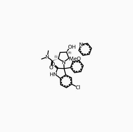 COc1ccccc1C1(N2C[C@H](O)C[C@H]2C(=O)N(C)C)C(=O)Nc2ccc(Cl)cc21.c1ccncc1